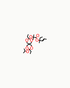 CC=CC(C)(CC)OC(=O)C(C)(C)OC1(CC)OCC2(COC(CC)(OC(C)C)OC2)CO1